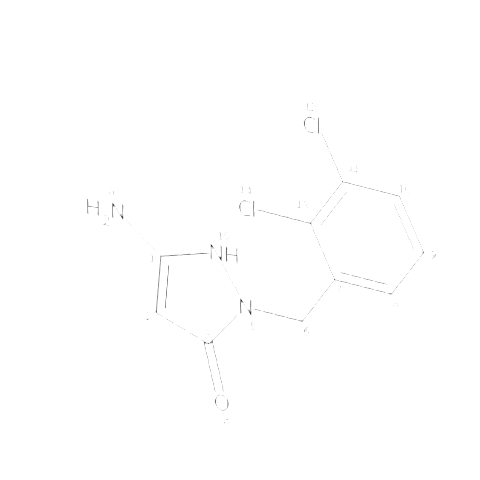 Nc1cc(=O)n(Cc2cccc(Cl)c2Cl)[nH]1